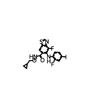 O=C(NOCC1CC1)c1cc2scnc2c(F)c1Nc1ccc(I)cc1F